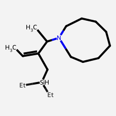 C/C=C(/C[SiH](CC)CC)C(C)N1CCCCCCCC1